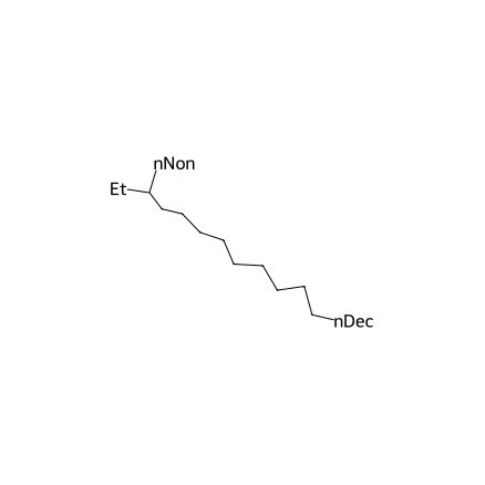 CCCCCCCCCCCCCCCCCCCC(CC)CCCCCCCCC